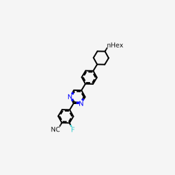 CCCCCCC1CCC(c2ccc(-c3cnc(-c4ccc(C#N)c(F)c4)nc3)cc2)CC1